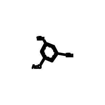 CC(=O)Oc1cc(C(C)(C)C)cc(C(C)(C)C)c1